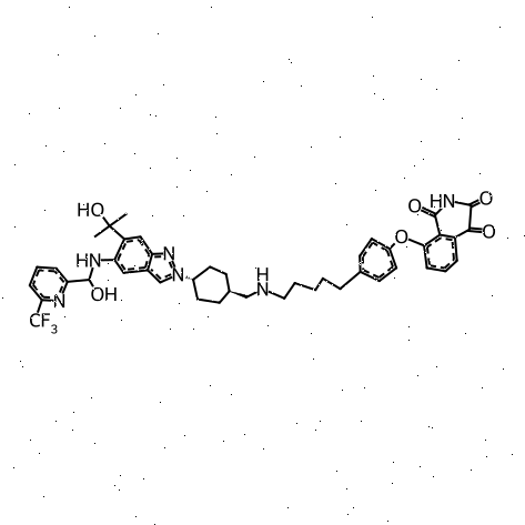 CC(C)(O)c1cc2nn([C@H]3CC[C@H](CNCCCCCc4ccc(Oc5cccc6c5C(=O)NC(=O)C6=O)cc4)CC3)cc2cc1NC(O)c1cccc(C(F)(F)F)n1